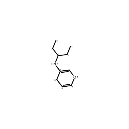 CCC(CC)NC1=[C]OC=CC1